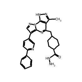 Cc1n[nH]c2c1c(CC1CCC(C(=O)NN)CC1)nc1c(-c3ccc(-c4ccccc4)nc3)cnn12